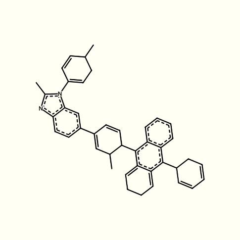 Cc1nc2ccc(C3=CC(C)C(c4c5c(c(C6C=CC=CC6)c6ccccc46)=CCCC=5)C=C3)cc2n1C1=CCC(C)C=C1